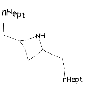 CCCCCCCCC1CC(CCCCCCCC)N1